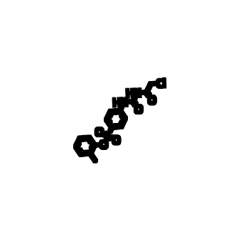 Cc1ccccc1OS(=O)(=O)c1ccc(NC(=O)NC(=O)CCl)cc1